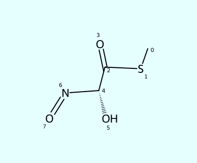 CSC(=O)[C@H](O)N=O